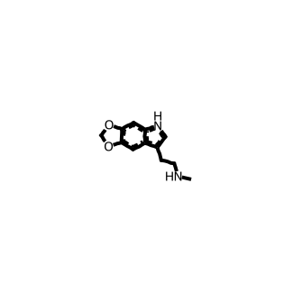 CNCCc1c[nH]c2cc3c(cc12)OCO3